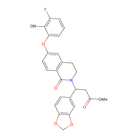 COC(=O)CC(c1ccc2c(c1)OCO2)N1CCc2cc(Oc3cccc(F)c3N=O)ccc2C1=O